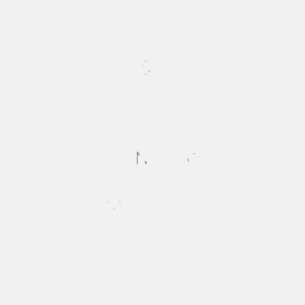 CCON(OCC)C(C)=S